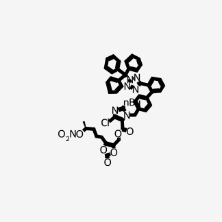 CCCCc1nc(Cl)c(C(=O)OCc2oc(=O)oc2CCC[C@H](C)O[N+](=O)[O-])n1Cc1ccc(-c2ccccc2-c2nnn(C(c3ccccc3)(c3ccccc3)c3ccccc3)n2)cc1